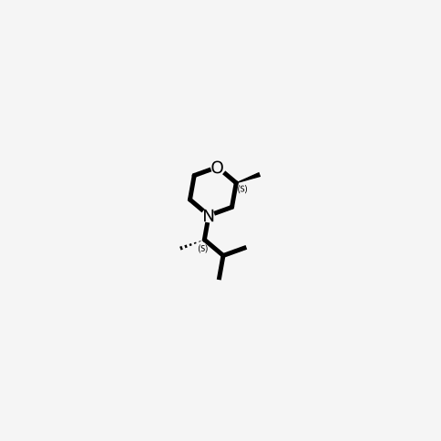 CC(C)[C@H](C)N1CCO[C@@H](C)C1